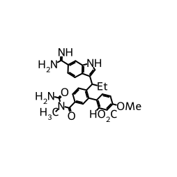 CCC(c1ccc(C(=O)N(C)C(N)=O)cc1-c1ccc(OC)cc1C(=O)O)c1c[nH]c2cc(C(=N)N)ccc12